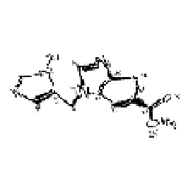 CCn1cncc1Cn1cnc2sc(C(=O)OC)cc21